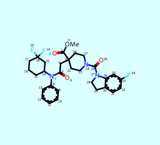 COC(=O)C1(CC(=O)N(c2ccccc2)C2CCCC(F)(F)C2)CCN(C(=O)N2CCc3ccc(F)cc32)CC1